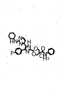 CC1(C(=O)Nc2ccccc2)COC(c2nc(-c3ccc(F)cc3)c(-c3ccnc(NC4CCCCC4)n3)[nH]2)OC1